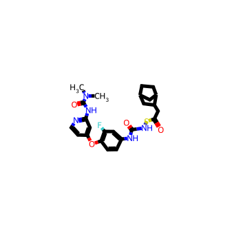 CN(C)C(=O)Nc1cc(Oc2ccc(NC(=O)NSC(=O)CC3CC4CCC3C4)cc2F)ccn1